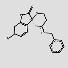 CCCC1C=CC2=C(C1)NC(=O)[C@]21C[C@H](NCc2ccccc2)CCO1